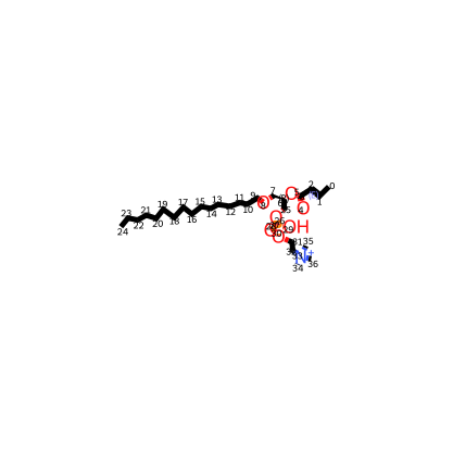 C/C=C/C(=O)O[C@H](COCCCCCCCCCCCCCCCC)COP(=O)(O)OCC[N+](C)(C)C